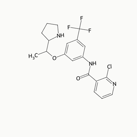 CC(Oc1cc(NC(=O)c2cccnc2Cl)cc(C(F)(F)F)c1)C1CCCN1